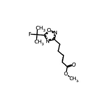 COC(=O)CCCCc1noc(C(C)(C)F)n1